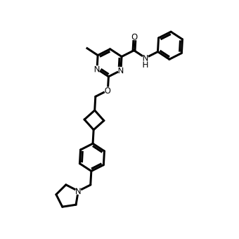 Cc1cc(C(=O)Nc2ccccc2)nc(OCC2CC(c3ccc(CN4CCCC4)cc3)C2)n1